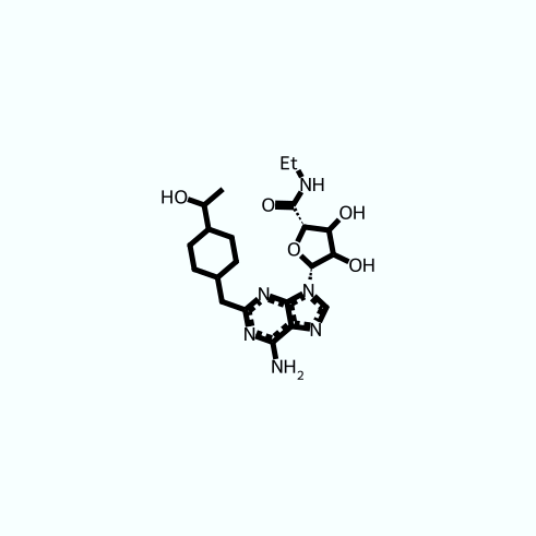 CCNC(=O)[C@H]1O[C@@H](n2cnc3c(N)nc(CC4CCC(C(C)O)CC4)nc32)C(O)C1O